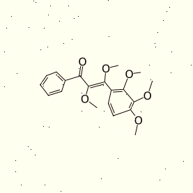 COC(C(=O)c1ccccc1)=C(OC)c1ccc(OC)c(OC)c1OC